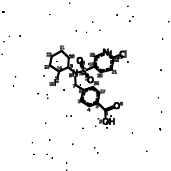 O=C(O)c1ccc(CN(C2CCCCC2F)S(=O)(=O)c2ccc(Cl)nc2)cc1